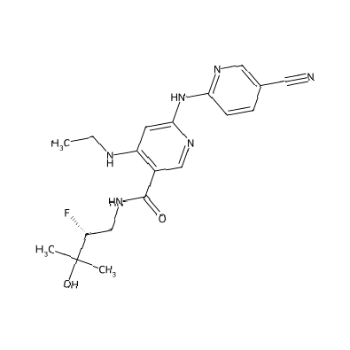 CCNc1cc(Nc2ccc(C#N)cn2)ncc1C(=O)NC[C@@H](F)C(C)(C)O